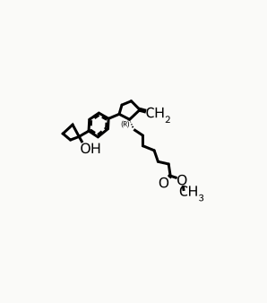 C=C1CCC(c2ccc(C3(O)CCC3)cc2)[C@H]1CCCCCCC(=O)OC